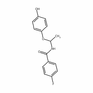 CC(NC(=O)c1ccc(F)cc1)Oc1ccc(O)cc1